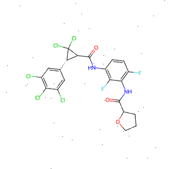 O=C(Nc1c(F)ccc(NC(=O)C2[C@H](c3cc(Cl)c(Cl)c(Cl)c3)C2(Cl)Cl)c1F)C1CCCO1